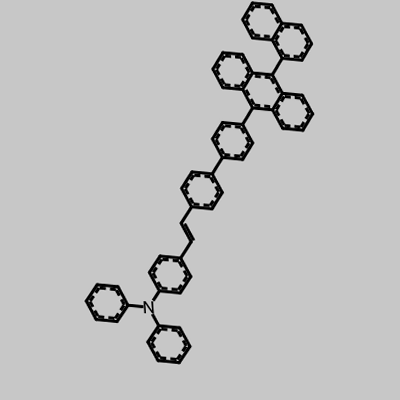 C(=C\c1ccc(N(c2ccccc2)c2ccccc2)cc1)/c1ccc(-c2ccc(-c3c4ccccc4c(-c4cccc5ccccc45)c4ccccc34)cc2)cc1